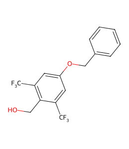 OCc1c(C(F)(F)F)cc(OCc2ccccc2)cc1C(F)(F)F